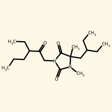 CCCC(CC)C(=O)CN1C(=O)N(C)C(C)(CC(CC)CC)C1=O